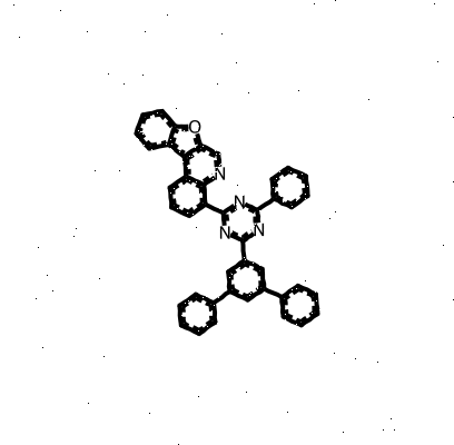 c1ccc(-c2cc(-c3ccccc3)cc(-c3nc(-c4ccccc4)nc(-c4cccc5c4ncc4oc6ccccc6c45)n3)c2)cc1